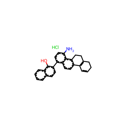 Cl.Nc1ccc(-c2ccc3ccccc3c2O)c2ccc3c(c12)CCC1=C3C=CCC1